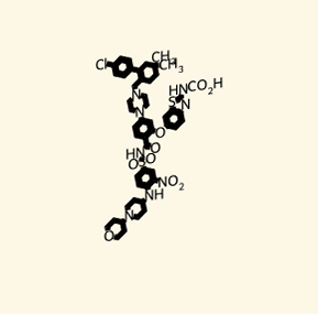 CC1(C)CCC(CN2CCN(c3ccc(C(=O)NS(=O)(=O)c4ccc(NC5CCN(C6CCOCC6)CC5)c([N+](=O)[O-])c4)c(Oc4ccc5nc(NC(=O)O)sc5c4)c3)CC2)=C(c2ccc(Cl)cc2)C1